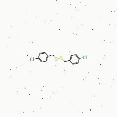 Clc1ccc(CSSCc2ccc(Cl)cc2)cc1